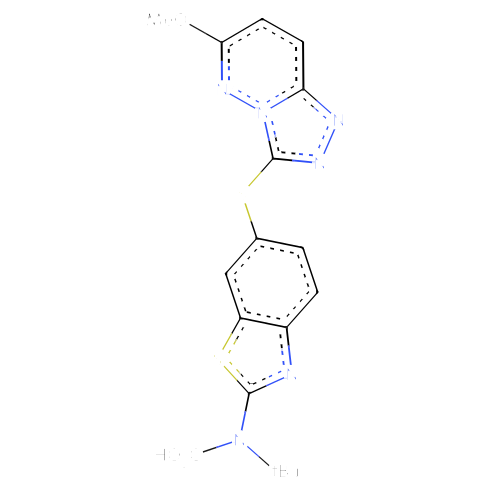 COc1ccc2nnc(Sc3ccc4nc(N(C(=O)O)C(C)(C)C)sc4c3)n2n1